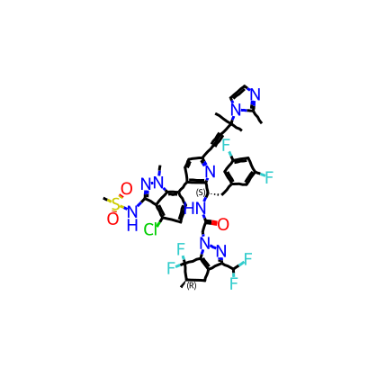 Cc1nccn1C(C)(C)C#Cc1ccc(-c2ccc(Cl)c3c(NS(C)(=O)=O)nn(C)c23)c([C@H](Cc2cc(F)cc(F)c2)NC(=O)Cn2nc(C(F)F)c3c2C(F)(F)[C@H](C)C3)n1